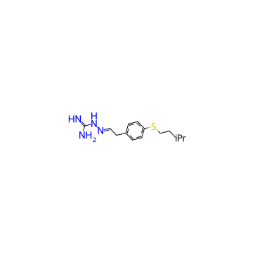 CC(C)CCSc1ccc(CC=NNC(=N)N)cc1